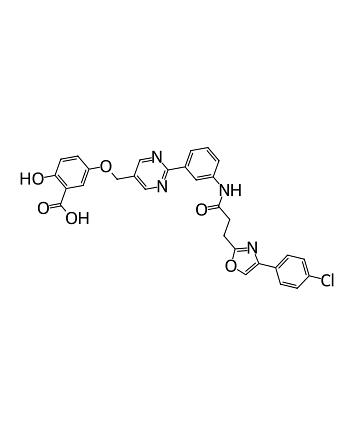 O=C(CCc1nc(-c2ccc(Cl)cc2)co1)Nc1cccc(-c2ncc(COc3ccc(O)c(C(=O)O)c3)cn2)c1